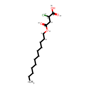 CCCCCCCCCCCCOC(=O)CC(Cl)C(=O)O